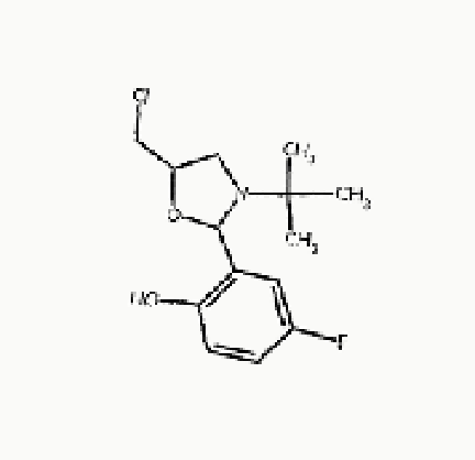 CC(C)(C)N1CC(CCl)OC1c1cc(F)ccc1O